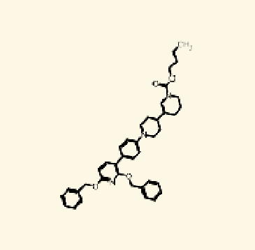 CCCCOC(=O)N1CCCC(C2CCN(c3ccc(-c4ccc(OCc5ccccc5)nc4OCc4ccccc4)cc3)CC2)C1